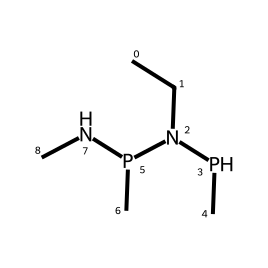 CCN(PC)P(C)NC